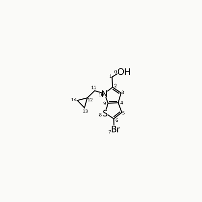 OCc1cc2cc(Br)sc2n1CC1CC1